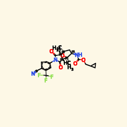 C[C@]12O[C@](C)(C[C@H]1NC(=O)OCC1CC1)[C@H]1C(=O)N(c3ccc(C#N)c(C(F)(F)F)c3)C(=O)[C@H]12